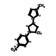 C[n+]1ccn(C2CCN(c3ccc([N+](=O)[O-])cc3)C2)c1.[Cl-]